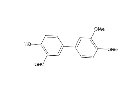 COc1ccc(-c2ccc(O)c(C=O)c2)cc1OC